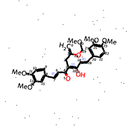 C=C(C/C(C(=O)/C=C/c1ccc(OC)c(OC)c1)=C(O)\C=C\c1ccc(OC)c(OC)c1)OCOC